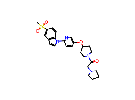 CS(=O)(=O)c1ccc2c(ccn2-c2ccc(OC3CCN(C(=O)CN4CCCC4)CC3)cn2)c1